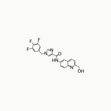 O=C(Nc1ccc2nc(CO)ccc2c1)c1cn(Cc2cc(F)c(F)c(F)c2)cn1